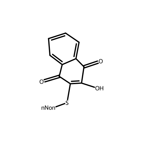 CCCCCCCCCSC1=C(O)C(=O)c2ccccc2C1=O